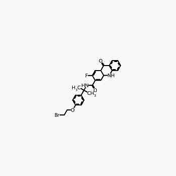 CC(C)(NC(=O)C1=CC2Nc3ccccc3C(=O)C2C=C1F)c1ccc(OCCBr)cc1